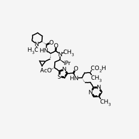 CC(=O)O[C@H](C[C@H](C(C)C)N(C)C(=O)[C@H](CC1CC1)NC(=O)[C@H]1CCCCN1C)c1nc(C(=O)N[C@@H](CCc2ncc(C)cn2)C[C@H](C)C(=O)O)cs1